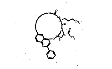 CCCC[C@@H]1NC(=O)CCCCCCCc2ccc3nc(-c4ccccc4)cc(c3c2)O[C@@H]2C[C@@H](C(N)=O)N(C2)C1=O